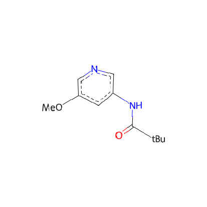 COc1cncc(NC(=O)C(C)(C)C)c1